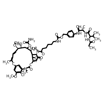 CCC(=O)NC(C(=O)N[C@@H](C)C(=O)Nc1ccc(COC(=O)NCCCCCC(=O)N(C)[C@@H]2C(=O)C[C@H]3CC(=O)N(C)c4cc(cc(OC)c4Cl)C/C(C)=C/C=C/[C@@H](OC)[C@@H](O)CC(OC(N)=O)[C@@H](C)C2C3C)cc1)C(C)C